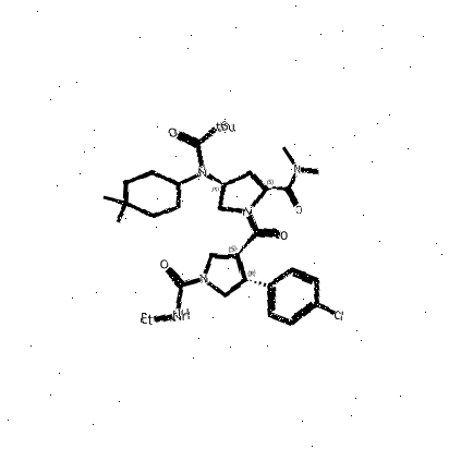 CCNC(=O)N1C[C@@H](C(=O)N2C[C@@H](N(C(=O)C(C)(C)C)C3CCC(C)(C)CC3)C[C@H]2C(=O)N(C)C)[C@H](c2ccc(Cl)cc2)C1